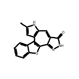 Cc1cc(C)c(/C=C2/C(=O)NN=C2c2cc3ccccc3o2)[nH]1